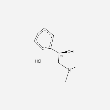 CN(C)C[C@H](O)c1ccccc1.Cl